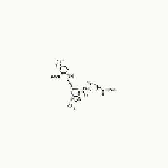 CNC(=O)CN1CC[C@H](NC(=O)c2cc(C#CCNc3ccc(S(C)(=O)=O)cc3OC)cc3c2ncn3CC(F)(F)F)[C@@H](C)C1